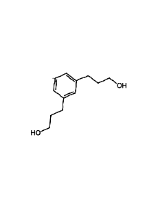 OCCCc1c[c]cc(CCCO)c1